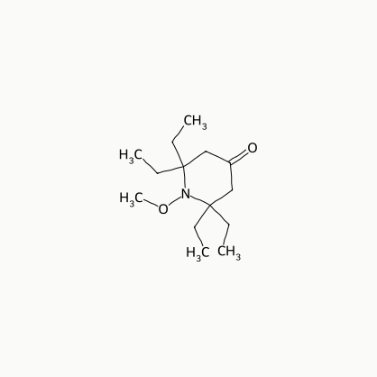 CCC1(CC)CC(=O)CC(CC)(CC)N1OC